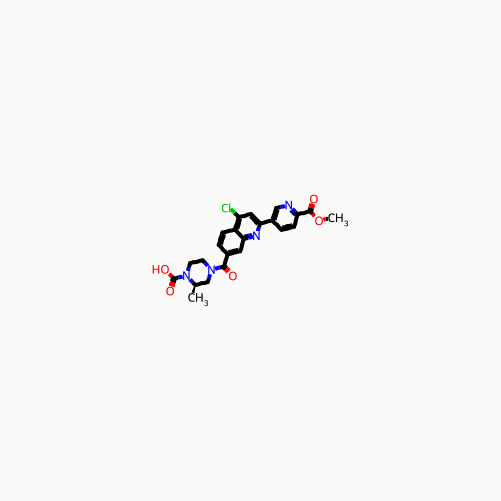 COC(=O)c1ccc(-c2cc(Cl)c3ccc(C(=O)N4CCN(C(=O)O)[C@H](C)C4)cc3n2)cn1